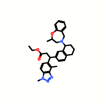 CCOC(=O)CC(c1ccc2c(c1)C(N1Cc3ccccc3OC(C)C1)CCC2)c1ccc2c(nnn2C)c1C